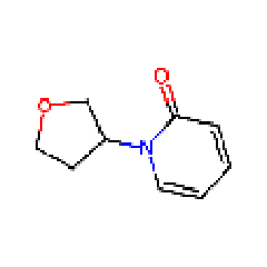 O=c1ccccn1C1CCOC1